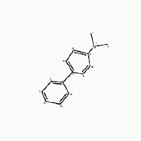 CN(C)c1ccc(-c2c[c]ccc2)cc1